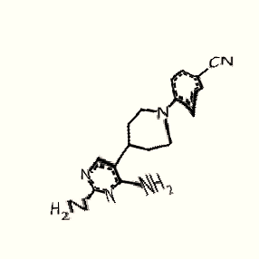 N#Cc1ccc(N2CCC(c3cnc(N)nc3N)CC2)cc1